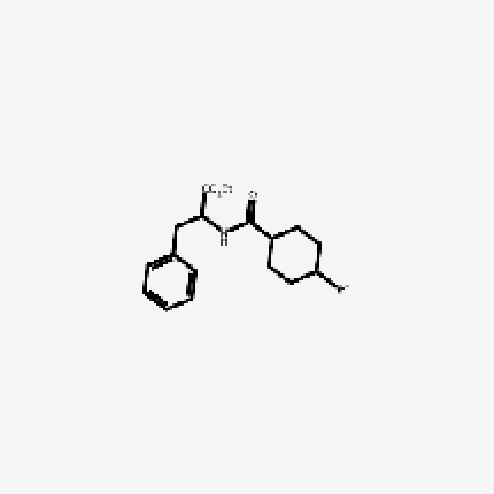 CCOC(=O)C(Cc1ccccc1)NC(=O)C1CCC(C(C)C)CC1